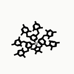 CC1=C(C)C(C)C([Si](c2cc(Cc3c(C)cc(C)cc3C)cc(Cc3c(C)cc(C)cc3C)c2)(c2cc(Cc3c(C)cc(C)cc3C)cc(Cc3c(C)cc(C)cc3C)c2)c2cc(Cc3c(C)cc(C)cc3C)cc(Cc3c(C)cc(C)cc3C)c2)=C1C